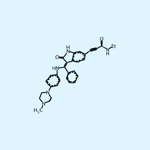 CCNC(=O)C#Cc1ccc2c(c1)NC(=O)/C2=C(\Nc1ccc(N2CCN(C)CC2)cc1)c1ccccc1